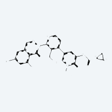 Cn1cc(-c2ccnc(-n3ncc4cc(C(C)(C)C)cc(F)c4c3=O)c2CO)cc(NC(=O)[C@@H]2C[C@@H]2F)c1=O